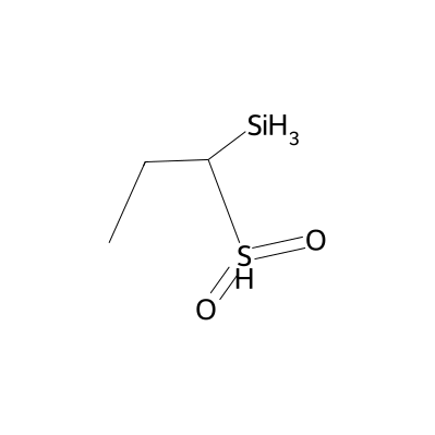 CCC([SiH3])[SH](=O)=O